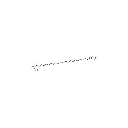 O=C(O)CCCCCCCCCCCCCCCCCCCCCCC(=S)S